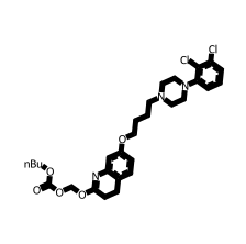 CCCCOC(=O)OCOC1=Nc2cc(OCCCCN3CCN(c4cccc(Cl)c4Cl)CC3)ccc2CC1